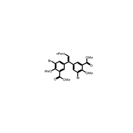 CCCCCC=C(c1cc(Br)c(OC)c(C(=O)OC)c1)c1cc(Br)c(OC)c(C(=O)OC)c1